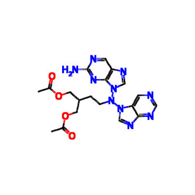 CC(=O)OCC(CCN(n1cnc2ncncc21)n1cnc2cnc(N)nc21)COC(C)=O